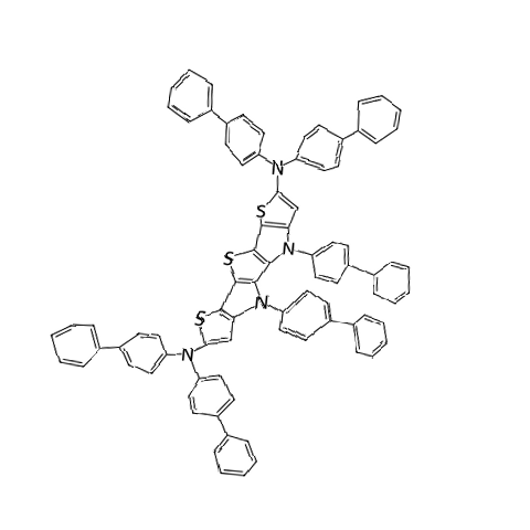 c1ccc(-c2ccc(N(c3ccc(-c4ccccc4)cc3)c3cc4c(s3)c3sc5c6sc(N(c7ccc(-c8ccccc8)cc7)c7ccc(-c8ccccc8)cc7)cc6n(-c6ccc(-c7ccccc7)cc6)c5c3n4-c3ccc(-c4ccccc4)cc3)cc2)cc1